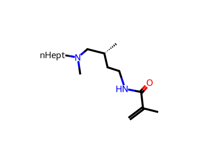 C=C(C)C(=O)NCC[C@@H](C)CN(C)CCCCCCC